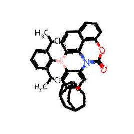 CC(C)c1cccc(C(C)C)c1B1c2cc3c(cc2N2C(=O)Oc4cccc5ccc1c2c45)C1CC2CC(CC3C2)C1